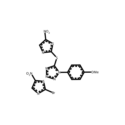 COc1ccc(-n2nnnc2Sc2ncc([N+](=O)[O-])s2)cc1.O=[N+]([O-])c1cnc(Br)s1